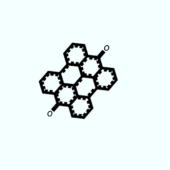 O=c1c2cccc3c4cccc5c(=O)c6cccc7c8cccc1c8c(c23)c(c54)c67